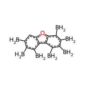 Bc1cc2oc3c(B)c(B)c(B)c(B)c3c2c(B)c1B